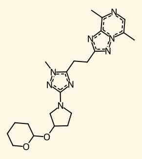 Cc1ncc(C)n2nc(CCc3nc(N4CCC(OC5CCCCO5)C4)nn3C)nc12